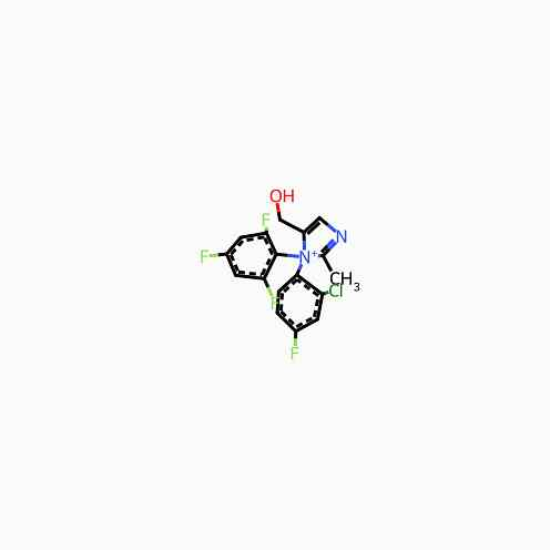 CC1=NC=C(CO)[N+]1(c1ccc(F)cc1Cl)c1c(F)cc(F)cc1F